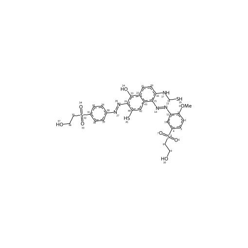 COc1ccc(S(=O)(=O)CCO)cc1/N=N/c1c(NCS)ccc2c(O)c(/N=N/c3ccc(S(=O)(=O)CCO)cc3)c(S)cc12